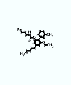 C=COc1cc(CCCCC)cc(OC(=S)NCCCBr)c1[C@@H]1C=C(C)CCC1